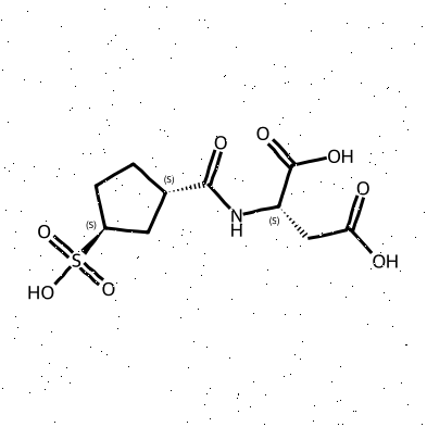 O=C(O)C[C@H](NC(=O)[C@H]1CC[C@H](S(=O)(=O)O)C1)C(=O)O